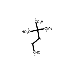 COC(CCC=O)(C(=O)O)C(=O)O